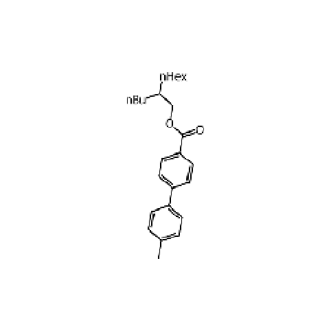 CCCCCCC(CCCC)COC(=O)c1ccc(-c2ccc(C)cc2)cc1